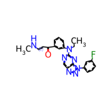 CCN(c1cccc(C(=O)/C=C/NC)c1)c1ncc2nnn(-c3cccc(F)c3)c2n1